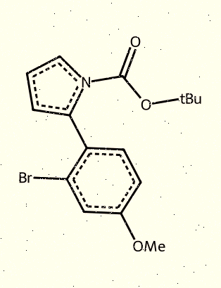 COc1ccc(-c2cccn2C(=O)OC(C)(C)C)c(Br)c1